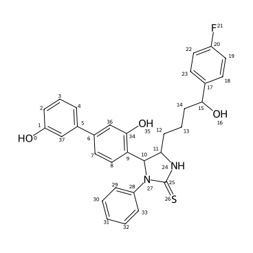 Oc1cccc(-c2ccc(C3C(CCCC(O)c4ccc(F)cc4)NC(=S)N3c3ccccc3)c(O)c2)c1